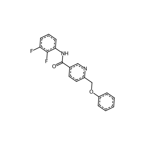 O=C(Nc1cccc(F)c1F)c1ccc(COc2ccccc2)nc1